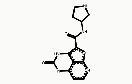 O=C1Nc2ccnc3sc(C(=O)NC4CCNC4)c(c23)N1